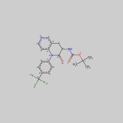 CC(C)(C)OC(=O)NC1Cc2cnccc2N(c2ccc(C(F)(F)F)cc2)C1=O